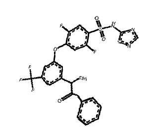 O=C(c1ccccc1)C(O)c1cc(Oc2cc(F)c(S(=O)(=O)Nc3ncns3)cc2F)cc(C(F)(F)F)c1